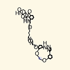 O=C1CCC(N2C(=O)c3cccc(NCCOCCCCCN4CCN(CCOc5ccc6cc5COC/C=C/COCc5cccc(c5)-c5ccnc(n5)N6)CC4)c3C2=O)C(=O)N1